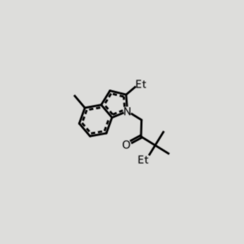 CCc1cc2c(C)cccc2n1CC(=O)C(C)(C)CC